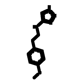 COc1ccc(CCNc2c[nH]nn2)cc1